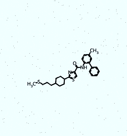 CSCCCC1CCC(c2nc(C(=O)Nc3ccc(C)cc3-c3ccccc3)cs2)CC1